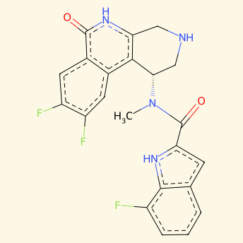 CN(C(=O)c1cc2cccc(F)c2[nH]1)[C@H]1CNCc2[nH]c(=O)c3cc(F)c(F)cc3c21